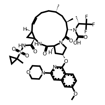 COc1ccc2c(O[C@@H]3C[C@H]4C(=O)N[C@]5(C(=O)NS(=O)(=O)C6(C)CC6)C[C@H]5C=CCC[C@H](C)C[C@@H](C)[C@H](N(C(=O)O)[C@H](C)C(F)(F)F)C(=O)N4C3)nc(N3CCOCC3)cc2c1